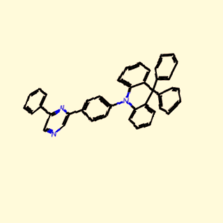 c1ccc(-c2cncc(-c3ccc(N4c5ccccc5C(c5ccccc5)(c5ccccc5)c5ccccc54)cc3)n2)cc1